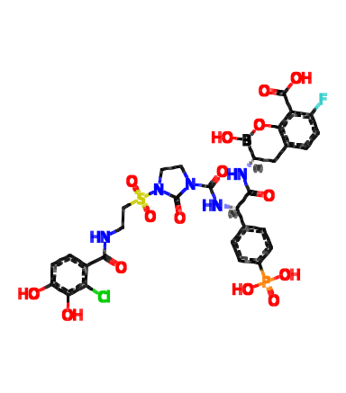 O=C(NCCS(=O)(=O)N1CCN(C(=O)N[C@H](C(=O)N[C@H]2Cc3ccc(F)c(C(=O)O)c3OB2O)c2ccc(P(=O)(O)O)cc2)C1=O)c1ccc(O)c(O)c1Cl